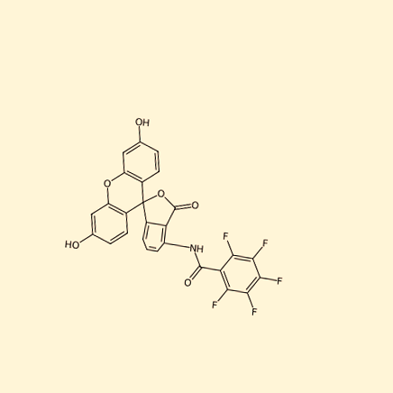 O=C1OC2(c3ccc(O)cc3Oc3cc(O)ccc32)c2cccc(NC(=O)c3c(F)c(F)c(F)c(F)c3F)c21